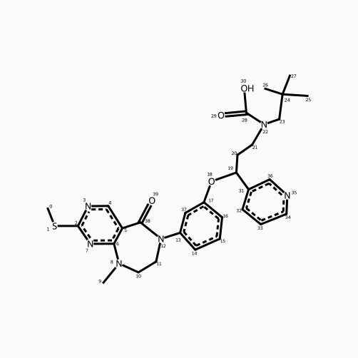 CSc1ncc2c(n1)N(C)CCN(c1cccc(OC(CCN(CC(C)(C)C)C(=O)O)c3cccnc3)c1)C2=O